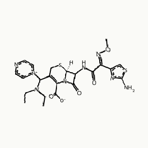 CCN(CC)C(C1=C(C(=O)[O-])N2C(=O)C(NC(=O)C(=NOC)c3csc(N)n3)[C@@H]2SC1)[n+]1ccncc1